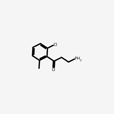 Cc1cccc(Cl)c1C(=O)CCP